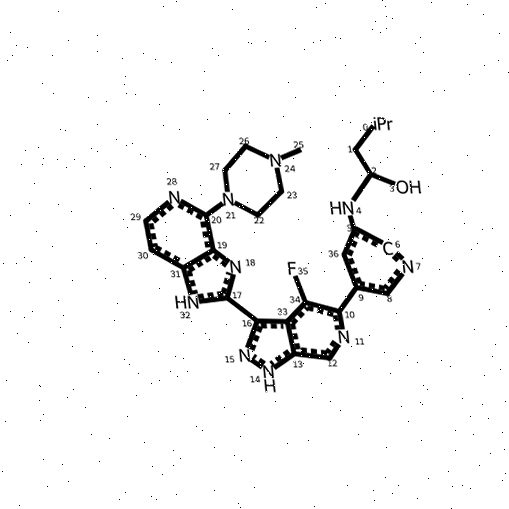 CC(C)CC(O)Nc1cncc(-c2ncc3[nH]nc(-c4nc5c(N6CCN(C)CC6)nccc5[nH]4)c3c2F)c1